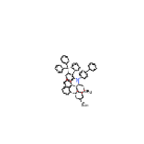 CC1C=C(N(c2ccc(-c3ccccc3)cc2)c2cccc3c2-c2ccccc2C3(c2ccccc2)c2ccccc2)C(c2cccc3cccc(-c4cc(C(C)(C)C)cc(C(C)(C)C)c4)c23)=CC1